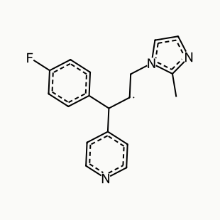 Cc1nccn1C[CH]C(c1ccncc1)c1ccc(F)cc1